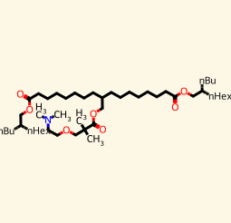 CCCCCCC(CCCC)COC(=O)CCCCCCCC(CCCCCCCC(=O)OCC(CCCC)CCCCCC)COC(=O)C(C)(C)COCCN(C)C